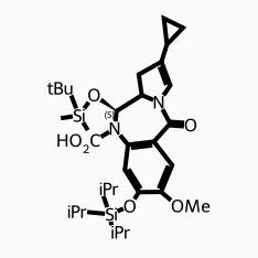 COc1cc2c(cc1O[Si](C(C)C)(C(C)C)C(C)C)N(C(=O)O)[C@@H](O[Si](C)(C)C(C)(C)C)C1CC(C3CC3)=CN1C2=O